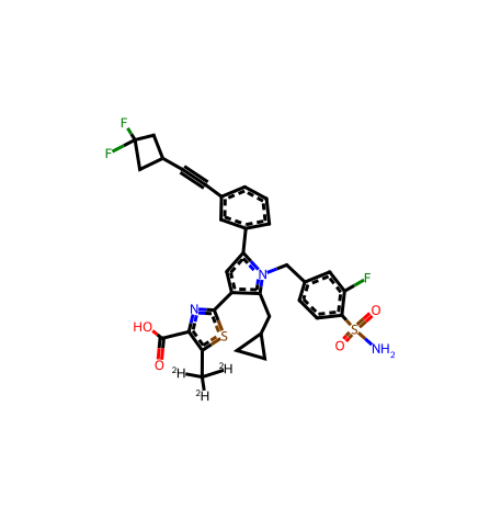 [2H]C([2H])([2H])c1sc(-c2cc(-c3cccc(C#CC4CC(F)(F)C4)c3)n(Cc3ccc(S(N)(=O)=O)c(F)c3)c2CC2CC2)nc1C(=O)O